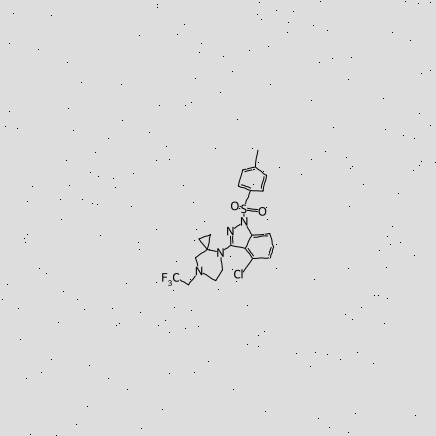 Cc1ccc(S(=O)(=O)n2nc(N3CCN(CC(F)(F)F)CC34CC4)c3c(Cl)cccc32)cc1